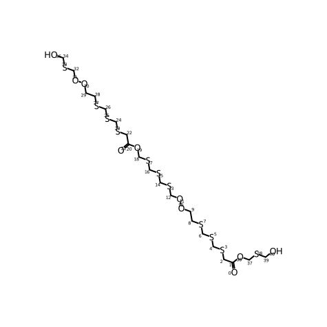 O=C(CSCSCSCCOOCSCSCSCOC(=O)CSCSCSCCOOCSCO)OCSCO